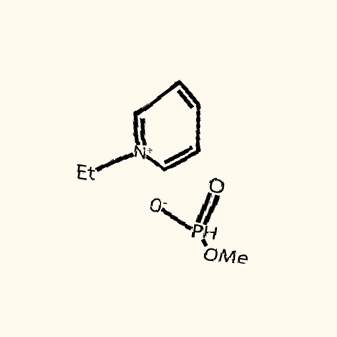 CC[n+]1ccccc1.CO[PH](=O)[O-]